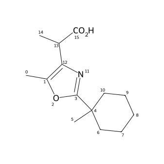 Cc1oc(C2(C)CCCCC2)nc1C(C)C(=O)O